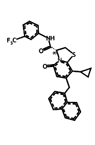 O=C(Nc1cccc(C(F)(F)F)c1)[C@@H]1CSc2c(C3CC3)c(Cc3cccc4ccccc34)cc(=O)n21